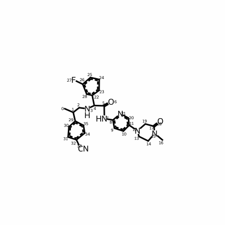 CC(CNC(C(=O)Nc1ccc(N2CCN(C)C(=O)C2)cn1)c1cccc(F)c1)c1ccc(C#N)cc1